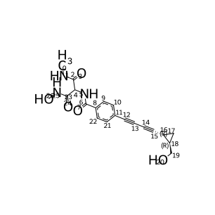 CNC(=O)C(NC(=O)c1ccc(C#CC#C[C@@H]2C[C@H]2CO)cc1)C(=O)NO